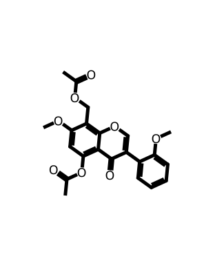 COc1ccccc1-c1coc2c(COC(C)=O)c(OC)cc(OC(C)=O)c2c1=O